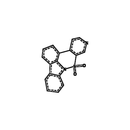 O=S1(=O)c2cnccc2-c2cccc3c4ccccc4n1c23